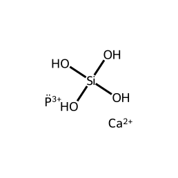 O[Si](O)(O)O.[Ca+2].[P+3]